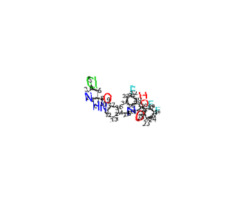 Cc1ncc(Cl)cc1C(=O)N[C@H]1CC[C@H](CN2C(=O)C(O)(c3cccc(F)c3F)c3cc(F)ccc32)CC1